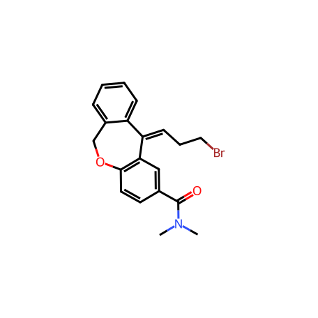 CN(C)C(=O)c1ccc2c(c1)C(=CCCBr)c1ccccc1CO2